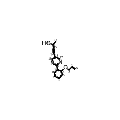 C=CCOc1ccccc1-c1ncc(C#CC(C)O)cn1